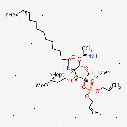 C=CCOP(=O)(OCC=C)O[C@H]1[C@H](OCC[C@@H](CCCCCCC)OC)[C@@H](NC(=O)CCCCCCCCC/C=C\CCCCCC)C(OC(=N)C(Cl)(Cl)Cl)O[C@@H]1COC